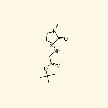 CN1CC[C@@H](NCC(=O)OC(C)(C)C)C1=O